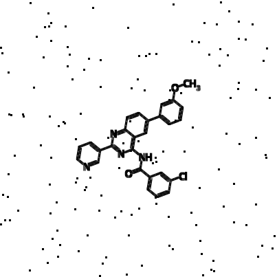 COc1cccc(-c2ccc3nc(-c4cccnc4)nc(NC(=O)c4cccc(Cl)c4)c3c2)c1